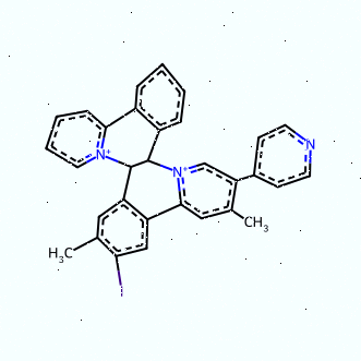 Cc1cc2c(cc1I)-c1cc(C)c(-c3ccncc3)c[n+]1C1c3ccccc3-c3cccc[n+]3C21